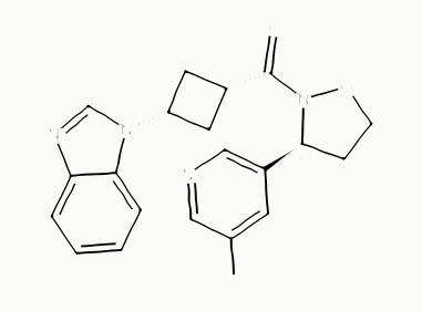 O=C([C@H]1C[C@@H](n2cnc3ccccc32)C1)N1OCC[C@H]1c1cncc(F)c1